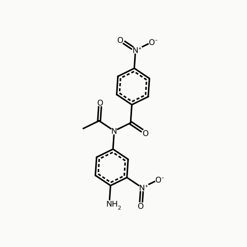 CC(=O)N(C(=O)c1ccc([N+](=O)[O-])cc1)c1ccc(N)c([N+](=O)[O-])c1